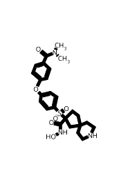 CN(C)C(=O)c1ccc(Oc2ccc(S(=O)(=O)C3(C(=O)NO)CCC4(CCNCC4)C3)cc2)cc1